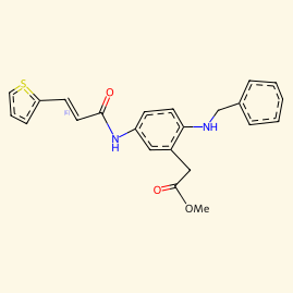 COC(=O)Cc1cc(NC(=O)/C=C/c2cccs2)ccc1NCc1ccccc1